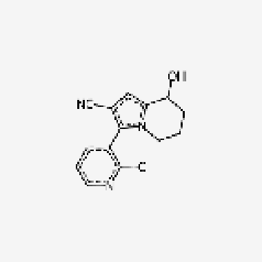 N#Cc1cc2n(c1-c1cccnc1Cl)CCCC2O